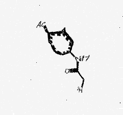 [2H]CC(=O)Nc1ccc(C(C)=O)cc1